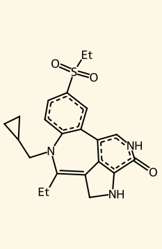 CCC1=C2CNc3c2c(c[nH]c3=O)-c2cc(S(=O)(=O)CC)ccc2N1CC1CC1